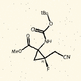 COC(=O)C1(NC(=O)OC(C)(C)C)C[C@@]1(F)CC#N